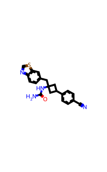 N#Cc1ccc(C2CC(Cc3ccc4ncsc4c3)(NC(N)=O)C2)cc1